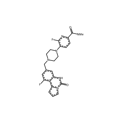 CNC(=O)c1ccc(N2CCN(Cc3cc(F)c4c(c3)[nH]c(=O)n3cccc43)CC2)c(F)n1